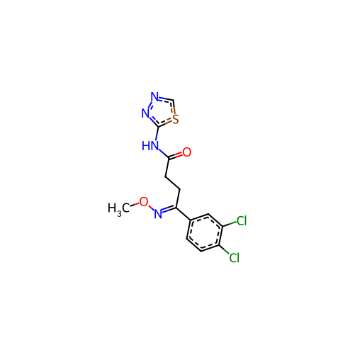 CON=C(CCC(=O)Nc1nncs1)c1ccc(Cl)c(Cl)c1